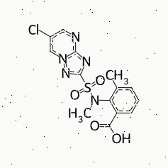 Cc1cccc(C(=O)O)c1N(C)S(=O)(=O)c1nc2ncc(Cl)cn2n1